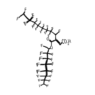 O=C(O)C=C(C(=O)OC(F)C(F)(F)C(F)(F)C(F)(F)C(F)(F)C(F)(F)C(F)(F)C(F)F)C(F)C(F)(F)C(F)(F)C(F)(F)C(F)(F)C(F)(F)C(F)(F)C(F)F